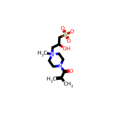 C=C(C)C(=O)N1CC[N+](C)(CC(O)CS(=O)(=O)[O-])CC1